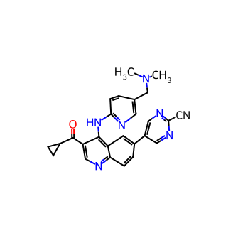 CN(C)Cc1ccc(Nc2c(C(=O)C3CC3)cnc3ccc(-c4cnc(C#N)nc4)cc23)nc1